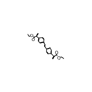 C=C(C(=O)OCC)c1ccc(C=Cc2ccc(C(=C)C(=O)OCC)cc2)cc1